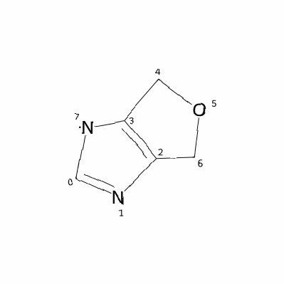 C1=NC2=C(COC2)[N]1